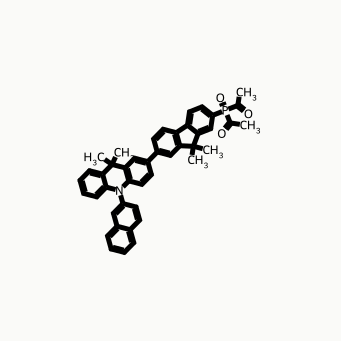 CC(=O)P(=O)(C(C)=O)c1ccc2c(c1)C(C)(C)c1cc(-c3ccc4c(c3)C(C)(C)c3ccccc3N4c3ccc4ccccc4c3)ccc1-2